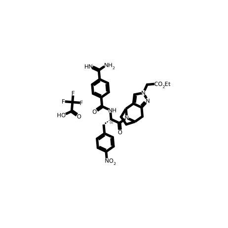 CCOC(=O)Cn1cc2c(n1)CC1CCC2N1C(=O)[C@H](Cc1ccc([N+](=O)[O-])cc1)NC(=O)c1ccc(C(=N)N)cc1.O=C(O)C(F)(F)F